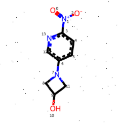 O=[N+]([O-])c1ccc(N2CC(O)C2)cn1